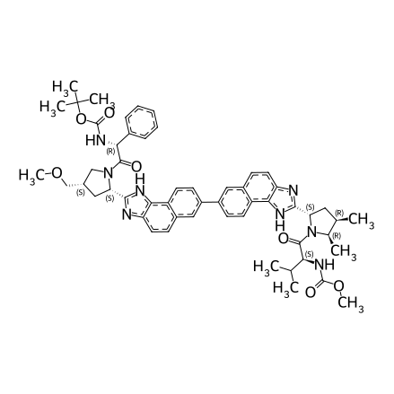 COC[C@H]1C[C@@H](c2nc3ccc4cc(-c5ccc6c(ccc7nc([C@@H]8C[C@@H](C)[C@@H](C)N8C(=O)[C@@H](NC(=O)OC)C(C)C)[nH]c76)c5)ccc4c3[nH]2)N(C(=O)[C@H](NC(=O)OC(C)(C)C)c2ccccc2)C1